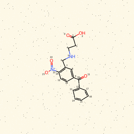 O=C(O)CCNCc1cc(C(=O)c2ccccc2)ccc1[N+](=O)[O-]